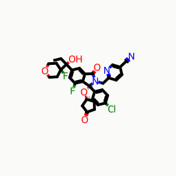 CCC(O)(c1cc(F)c2c(c1)C(=O)N(Cc1ccc(C#N)cn1)[C@@]2(O[C@H]1CCC(=O)C1)c1ccc(Cl)cc1)C1(F)CCOCC1